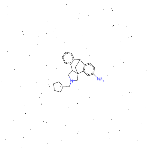 Nc1ccc2c(c1)C13CC2c2ccccc2C1CN(CC1CCCC1)C3